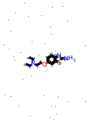 CCN(CC)CCOc1ccc2nc(N)sc2c1